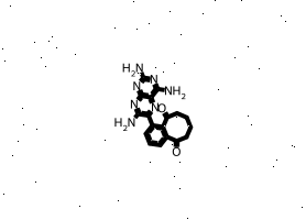 Nc1nc(N)c2nc(-c3cccc4c3C(=O)CCCCC4=O)c(N)nc2n1